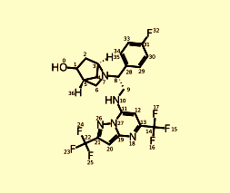 OC1C[C@@H]2C[C@@H]1CN2[C@@H](CNc1cc(C(F)(F)F)nc2cc(C(F)(F)F)nn12)c1ccc(F)cc1